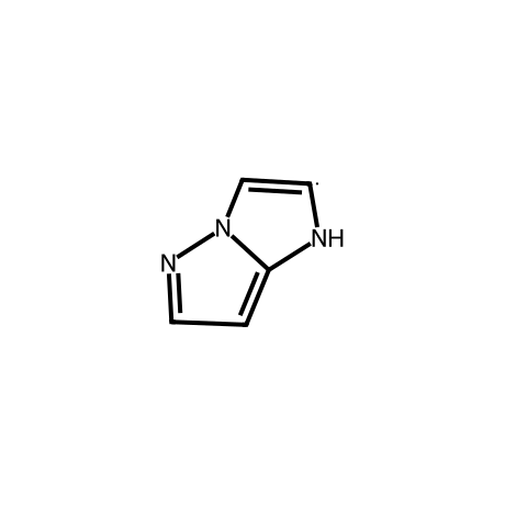 [c]1cn2nccc2[nH]1